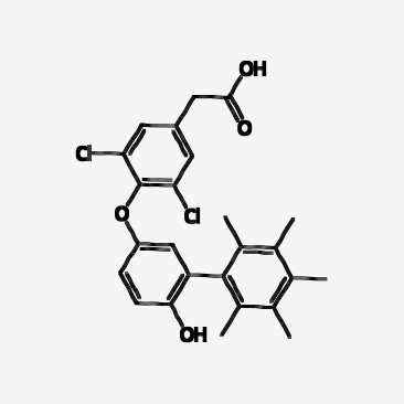 Cc1c(C)c(C)c(-c2cc(Oc3c(Cl)cc(CC(=O)O)cc3Cl)ccc2O)c(C)c1C